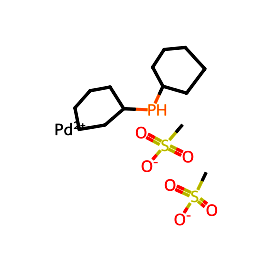 C1CCC(PC2CCCCC2)CC1.CS(=O)(=O)[O-].CS(=O)(=O)[O-].[Pd+2]